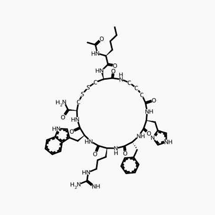 CCCC[C@H](NC(C)=O)C(=O)N[C@@H]1CSSC[C@H](C(N)=O)NC(=O)[C@H](Cc2c[nH]c3ccccc23)NC(=O)[C@H](CCCNC(=N)N)NC(=O)[C@@H](Cc2ccccc2)NC(=O)[C@H](Cc2c[nH]cn2)NC(=O)CCCNC1=O